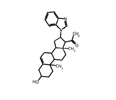 CC(=O)C1C(n2cnc3ccccc32)CC2C3CC=C4CC(O)CCC4(C)C3CCC21C